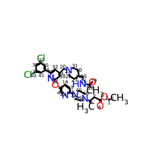 CCOC(=O)CC(C)N1CCN(c2ccc(Oc3cc(CN4CCC(CNC(C)=O)CC4)cc(-c4cc(Cl)cc(Cl)c4)n3)cn2)CC1